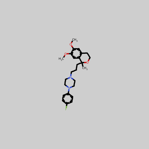 COc1cc2c(cc1OC)C(C)(CCCN1CCN(c3ccc(F)cc3)CC1)OCC2